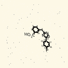 O=C(O)c1cccc(Cc2noc(-c3ccc(F)cc3)n2)c1